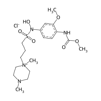 COC(=O)Nc1ccc(N(O)S(=O)(=O)CCC[N+]2(C)CCN(C)CC2)cc1OC.[Cl-]